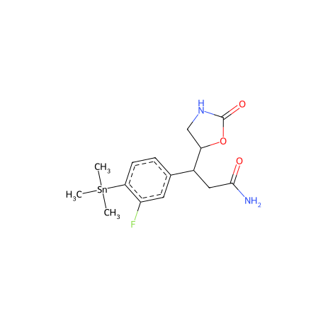 [CH3][Sn]([CH3])([CH3])[c]1ccc(C(CC(N)=O)C2CNC(=O)O2)cc1F